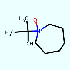 CC(C)(C)[N+]1([O-])CCCCCC1